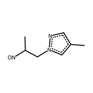 Cc1cnn(CC(C)N=O)c1